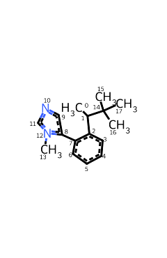 CC(c1ccccc1-c1cncn1C)C(C)(C)C